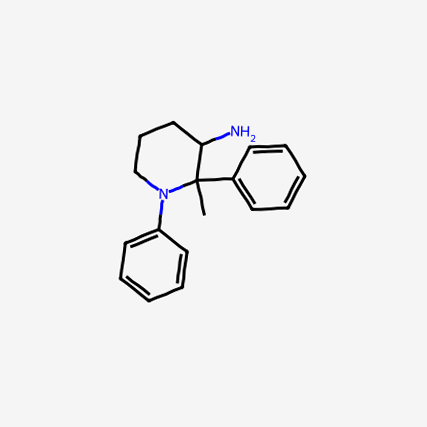 CC1(c2ccccc2)C(N)CCCN1c1ccccc1